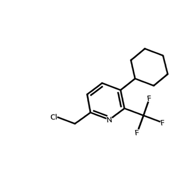 FC(F)(F)c1nc(CCl)ccc1C1CCCCC1